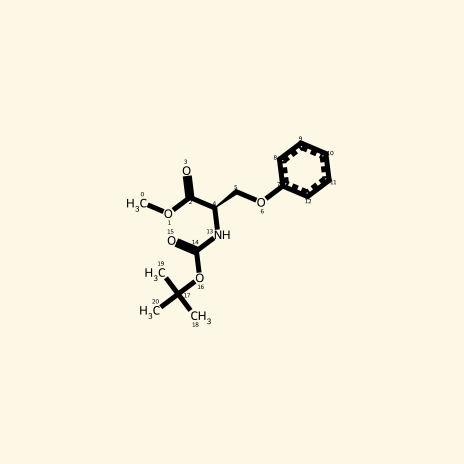 COC(=O)[C@@H](COc1ccccc1)NC(=O)OC(C)(C)C